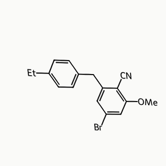 CCc1ccc(Cc2cc(Br)cc(OC)c2C#N)cc1